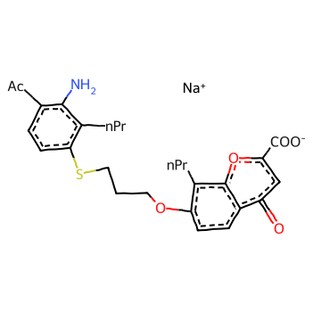 CCCc1c(SCCCOc2ccc3c(=O)cc(C(=O)[O-])oc3c2CCC)ccc(C(C)=O)c1N.[Na+]